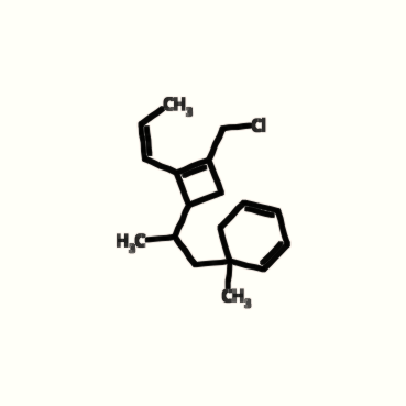 C/C=C\C1=C(CCl)CC1C(C)CC1(C)C=CC=CC1